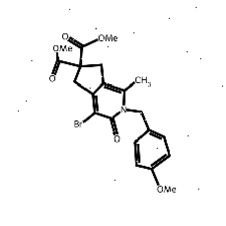 COC(=O)C1(C(=O)OC)Cc2c(c(C)n(Cc3ccc(OC)cc3)c(=O)c2Br)C1